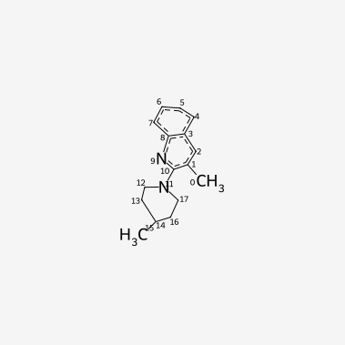 Cc1cc2ccccc2nc1N1CCC(C)CC1